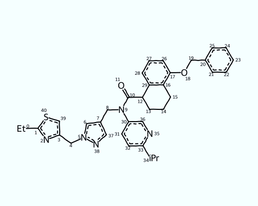 CCc1nc(Cn2cc(CN(C(=O)C3CCCc4c(OCc5ccccc5)cccc43)c3ccc(C(C)C)nc3)cn2)cs1